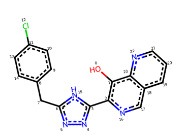 Oc1c(-c2nnc(Cc3ccc(Cl)cc3)[nH]2)ncc2cccnc12